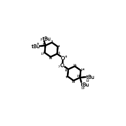 CC(C)(C)C1(C(C)(C)C)CCC(OOC2CCC(C(C)(C)C)(C(C)(C)C)CC2)CC1